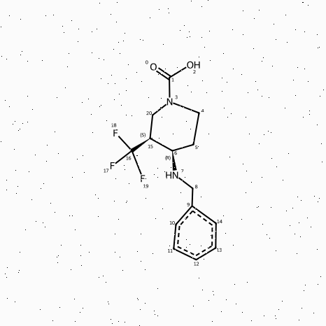 O=C(O)N1CC[C@@H](NCc2ccccc2)[C@@H](C(F)(F)F)C1